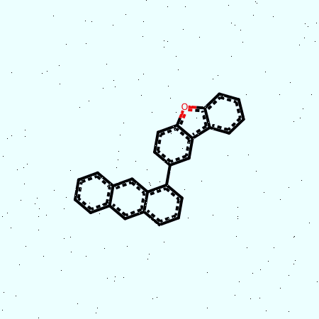 c1ccc2cc3c(-c4ccc5oc6ccccc6c5c4)cccc3cc2c1